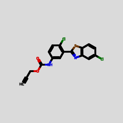 C#CCOC(=O)Nc1ccc(Cl)c(-c2nc3cc(Cl)ccc3s2)c1